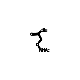 CC(=O)NOCC(=O)C(C)(C)C